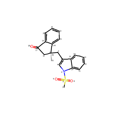 C[C@]1(Cc2cn(S(C)(=O)=O)c3ccccc23)CC(=O)c2ccccc21